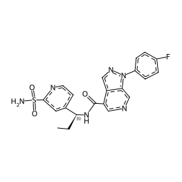 CC[C@H](NC(=O)c1cncc2c1cnn2-c1ccc(F)cc1)c1ccnc(S(N)(=O)=O)c1